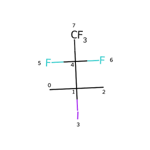 CC(C)(I)C(F)(F)C(F)(F)F